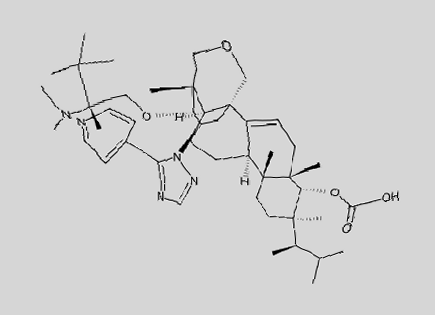 CC(C)[C@@H](C)[C@@]1(C)CC[C@]2(C)[C@H]3CC[C@@H]4[C@@]5(COC[C@@]4(C)[C@@H](OC[C@](C)(N(C)C)C(C)(C)C)[C@H](n4ncnc4-c4ccncc4)C5)C3=CC[C@]2(C)[C@@H]1OC(=O)O